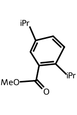 COC(=O)c1cc(C(C)C)ccc1C(C)C